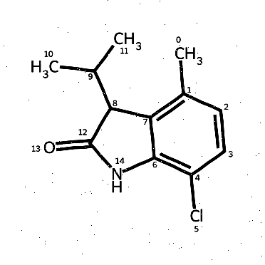 Cc1ccc(Cl)c2c1C(C(C)C)C(=O)N2